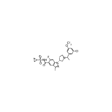 Cc1nn([C@@H]2CCN(C(C)c3cc(Cl)cc(OC(F)(F)F)c3)C2)c2cc(F)c(C(=O)NS(=O)(=O)C3CC3)cc12